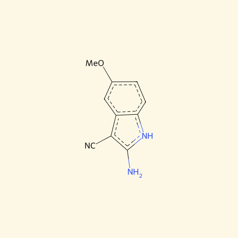 COc1ccc2[nH]c(N)c(C#N)c2c1